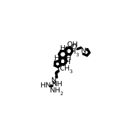 C[C@]12CC[C@](O)(OCCN3CCCC3)C[C@H]1CC[C@@H]1[C@@H]2CC[C@]2(C)[C@@H](/C=C/C=N/NC(=N)N)CC[C@]12O